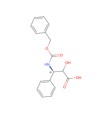 O=C(N[C@H](c1ccccc1)C(O)C(=O)O)OCc1ccccc1